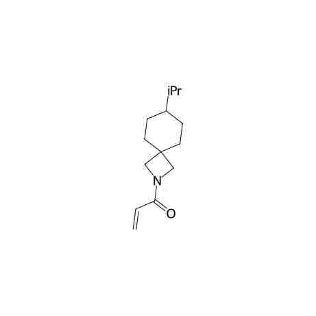 C=CC(=O)N1CC2(CCC(C(C)C)CC2)C1